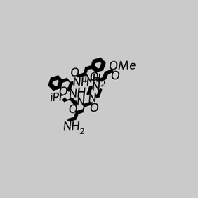 COC(=O)/C=C/C(=O)N1CCN(C(=O)[C@@H](CCCCN)NC(=O)[C@@H](CC(C)C)NC(=O)[C@@H](Cc2ccccc2)NC(=O)[C@H](N)Cc2ccccc2)CC1